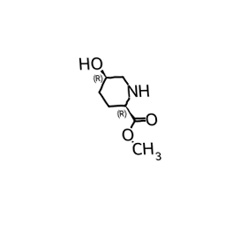 COC(=O)[C@H]1CC[C@@H](O)CN1